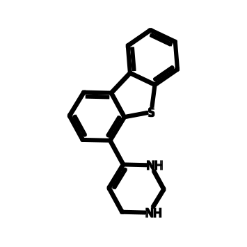 C1=C(c2cccc3c2sc2ccccc23)NCNC1